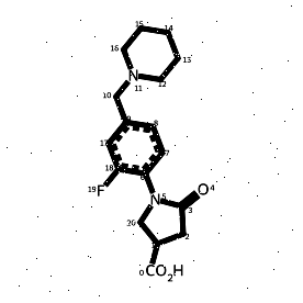 O=C(O)C1CC(=O)N(c2ccc(CN3CCCCC3)cc2F)C1